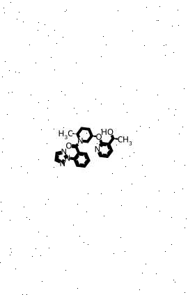 C[C@H](O)c1cccnc1O[C@@H]1CC[C@@H](C)N(C(=O)c2ccccc2-n2nccn2)C1